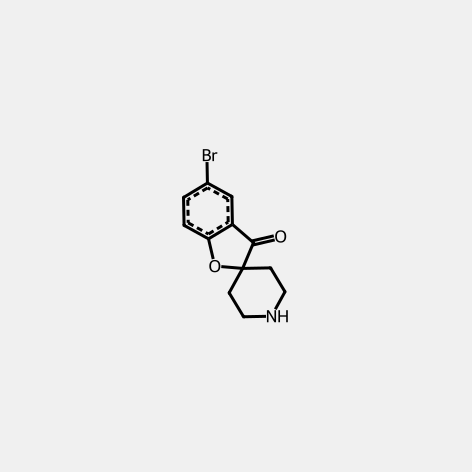 O=C1c2cc(Br)ccc2OC12CCNCC2